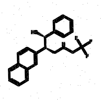 O[C@H](c1ccccc1)[C@H](CNCC(F)(F)F)c1ccc2ccccc2c1